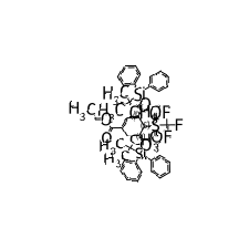 CCOC(=O)C1=C[C@@H](O[Si](c2ccccc2)(c2ccccc2)C(C)(C)C)[C@@H](S(=O)(=O)C(F)(F)F)[C@@H](O[Si](c2ccccc2)(c2ccccc2)C(C)(C)C)C1